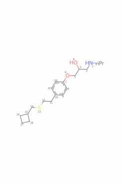 CC(C)NCC(O)COc1ccc(CCSCC2CCC2)cc1